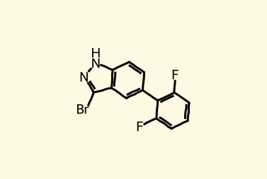 Fc1cccc(F)c1-c1ccc2[nH]nc(Br)c2c1